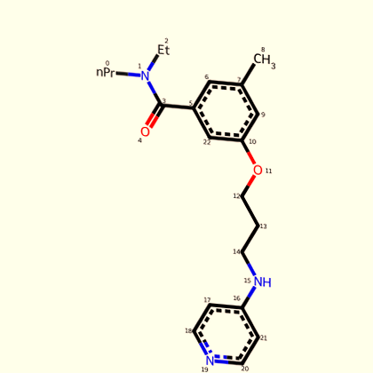 CCCN(CC)C(=O)c1cc(C)cc(OCCCNc2ccncc2)c1